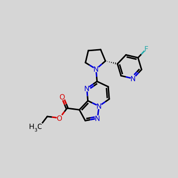 CCOC(=O)c1cnn2ccc(N3CCC[C@@H]3c3cncc(F)c3)nc12